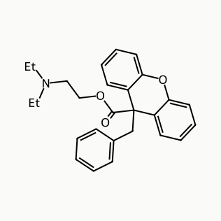 CCN(CC)CCOC(=O)C1(Cc2ccccc2)c2ccccc2Oc2ccccc21